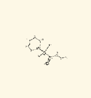 CCOC(=O)C(C)(C)N1CCCCC1